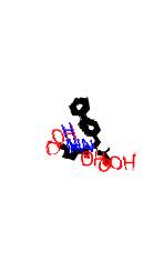 C[C@H](C[C@@H](Cc1ccc(-c2ccccc2)cc1)NC(O)c1ccc(C(=O)O)[nH]1)C(=O)O